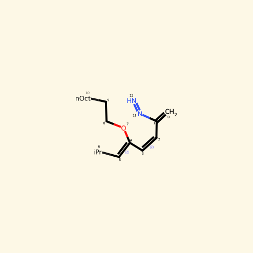 C=C(/C=C\C(=C\C(C)C)OCCCCCCCCCC)N=N